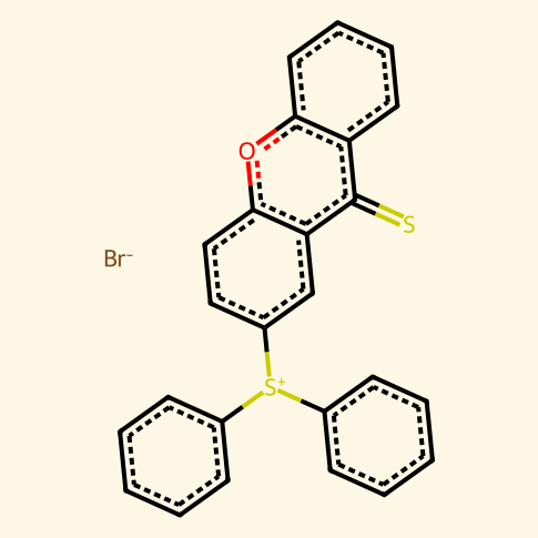 S=c1c2ccccc2oc2ccc([S+](c3ccccc3)c3ccccc3)cc12.[Br-]